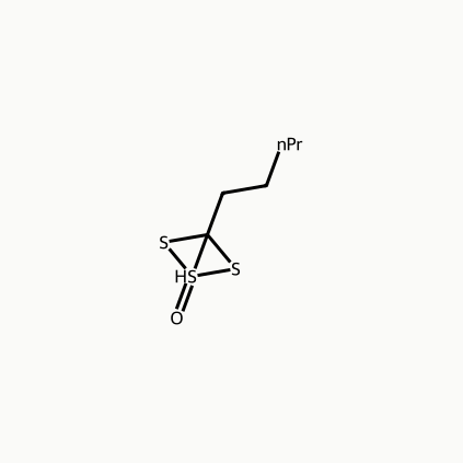 CCCCCC12S[SH]1(=O)S2